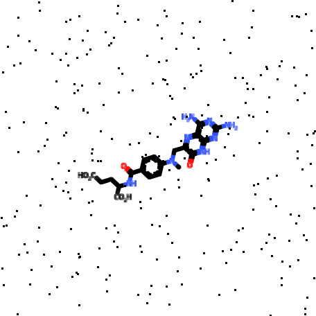 CN(Cc1nc2c(N)nc(N)nc2[nH]c1=O)c1ccc(C(=O)NC(CCC(=O)O)C(=O)O)cc1